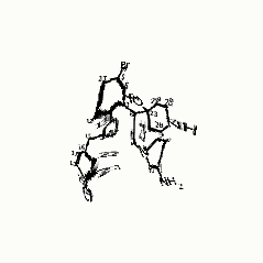 NC1CCN(CC(c2cc(Br)ccc2OCc2ccc(Cl)cc2)C2(O)CCNCC2)C1